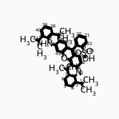 CC(C)C1=CC=CC(C(C)C)C1/N=c1/ccc2c(-c3ccccc3S(=O)(=O)O)c3ccc(Nc4c(C(C)C)cccc4C(C)C)cc3oc-2c1